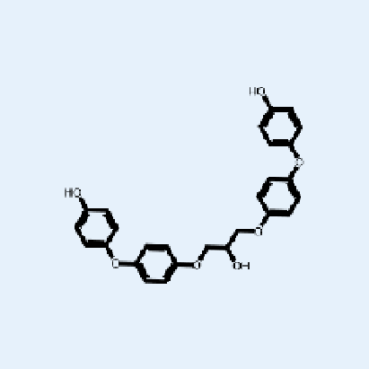 Oc1ccc(Oc2ccc(OCC(O)COc3ccc(Oc4ccc(O)cc4)cc3)cc2)cc1